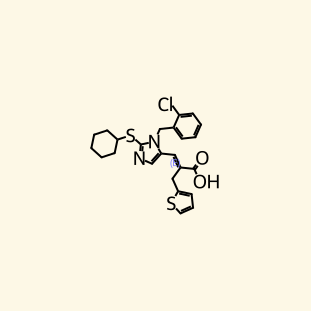 O=C(O)/C(=C/c1cnc(SC2CCCCC2)n1Cc1ccccc1Cl)Cc1cccs1